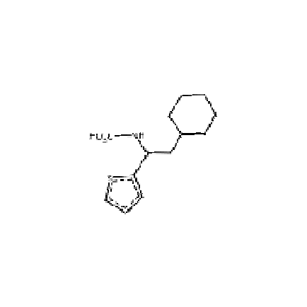 O=C(O)NC(CC1CCCCC1)c1cccs1